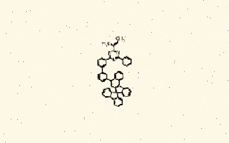 C/C=C(\C)c1nc(-c2ccccc2)nc(-c2cccc(-c3cccc(-c4cc5c(c6ccccc46)-c4ccccc4C54c5ccccc5-c5ccccc54)c3)c2)n1